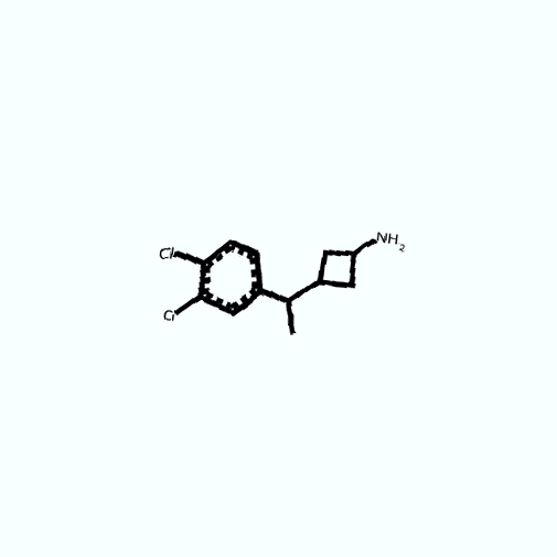 CC(c1ccc(Cl)c(Cl)c1)C1CC(N)C1